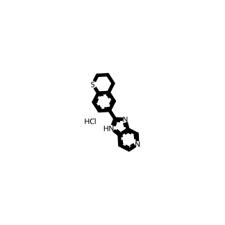 Cl.c1cc2[nH]c(-c3ccc4c(c3)CCCS4)nc2cn1